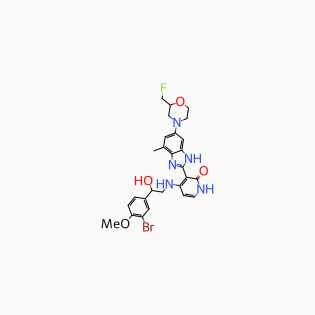 COc1ccc(C(O)CNc2cc[nH]c(=O)c2-c2nc3c(C)cc(N4CCOC(CF)C4)cc3[nH]2)cc1Br